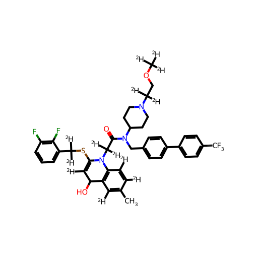 [2H]C1=C(SC([2H])([2H])c2cccc(F)c2F)N(C([2H])([2H])C(=O)N(Cc2ccc(-c3ccc(C(F)(F)F)cc3)cc2)C2CCN(C([2H])([2H])COC([2H])([2H])[2H])CC2)c2c([2H])c([2H])c(C)c([2H])c2C1O